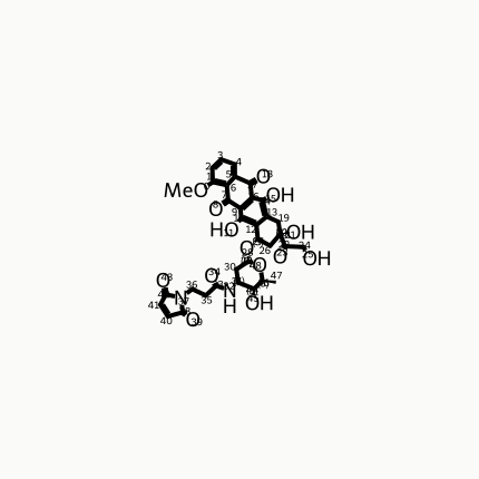 COc1cccc2c1C(=O)c1c(O)c3c(c(O)c1C2=O)C[C@@](O)(C(=O)CO)C[C@@H]3O[C@H]1C[C@H](NC(=O)CCN2C(=O)C=CC2=O)[C@H](O)[C@H](C)O1